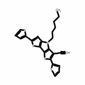 C#Cc1c(-c2cccs2)sc2c3sc(-c4cccs4)cc3n(CCCCCC)c12